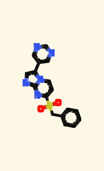 O=S(=O)(Cc1ccccc1)c1ccn2c(-c3cncnc3)cnc2n1